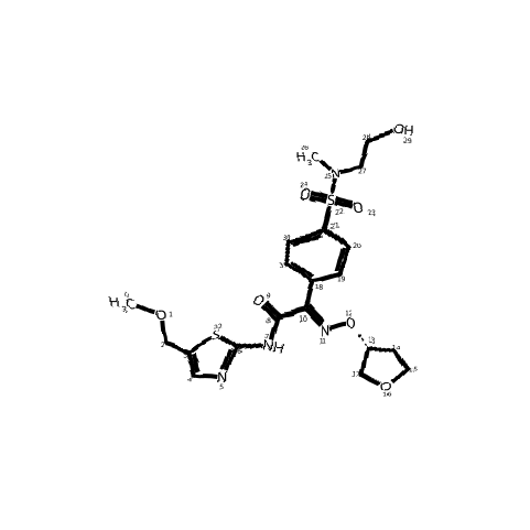 COCc1cnc(NC(=O)/C(=N/O[C@@H]2CCOC2)c2ccc(S(=O)(=O)N(C)CCO)cc2)s1